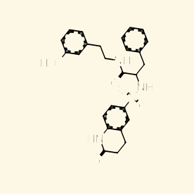 Cc1cccc(CCNC(=O)C(Cc2ccccc2)NS(=O)(=O)c2ccc3c(c2)CCC(=O)N3)c1